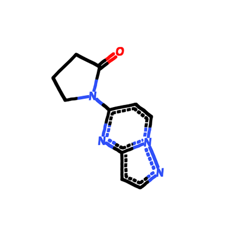 O=C1CCCN1c1ccn2nccc2n1